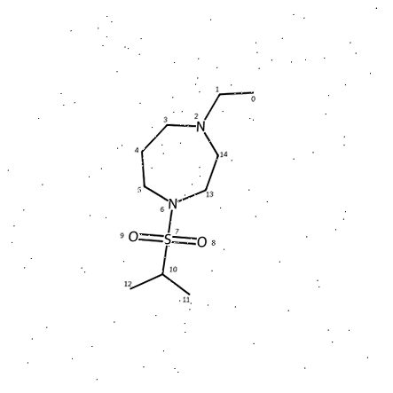 CCN1CCCN(S(=O)(=O)C(C)C)CC1